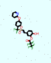 O=C(Oc1cc(/C=C/S(=O)(=O)C(F)(F)c2ccc(Oc3ccccn3)cc2)ccc1O)C(F)(F)C(F)(F)F